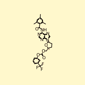 Cc1cc(C)c(C(=O)Nc2ncnc3c2ncn3[C@H]2CC[C@@H](COC(=O)Oc3cccc(C(F)(F)F)c3)O2)c(C)c1